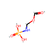 O=COCNP(=O)(O)O